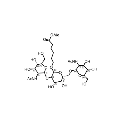 COC(=O)CCCCCO[C@H]1O[C@H](CO[C@@H]2O[C@H](CO)[C@@H](O)[C@H](O)[C@@H]2NC(C)=O)[C@H](O)[C@H](O)[C@H]1O[C@@H]1O[C@H](CO)[C@@H](O)[C@H](O)[C@@H]1NC(C)=O